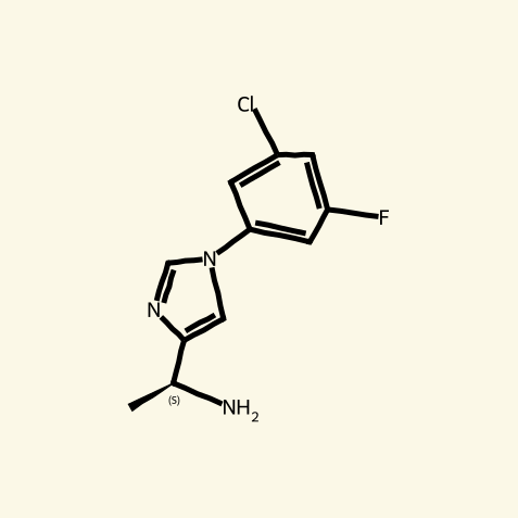 C[C@H](N)c1cn(-c2cc(F)cc(Cl)c2)cn1